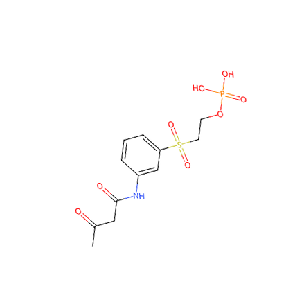 CC(=O)CC(=O)Nc1cccc(S(=O)(=O)CCOP(=O)(O)O)c1